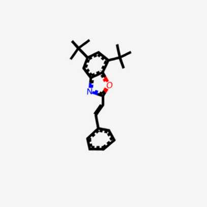 CC(C)(C)c1cc(C(C)(C)C)c2oc(C=Cc3ccccc3)nc2c1